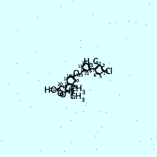 Cc1cc(Cl)ccc1-c1cccc(COc2ccc([C@H](CC(=O)O)C(=O)N(C)C)cc2)c1